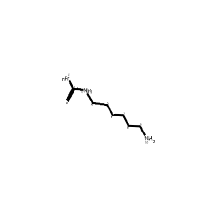 C=C(CCC)NCCCCCCN